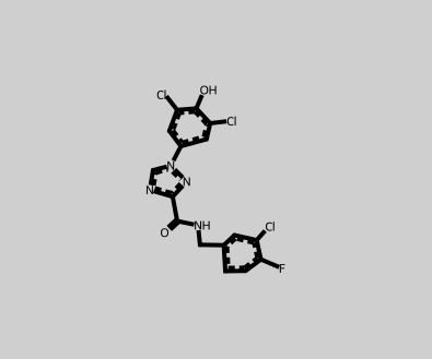 O=C(NCc1ccc(F)c(Cl)c1)c1ncn(-c2cc(Cl)c(O)c(Cl)c2)n1